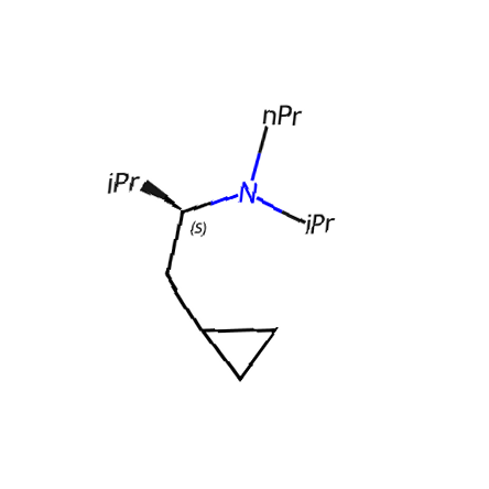 CCCN(C(C)C)[C@@H](CC1CC1)C(C)C